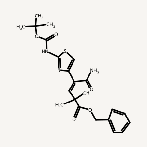 CC(C)(C)OC(=O)Nc1nc(C(=CC(C)(C)C(=O)OCc2ccccc2)C(N)=O)cs1